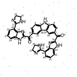 O=C(c1ccc2[nH]c3ccc(C(=O)c4nc5c(C6=NCCN6)cccc5[nH]4)cc3c2c1)c1nc2c(C3=NCCN3)cccc2[nH]1